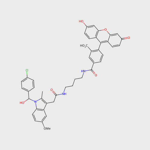 COc1ccc2c(c1)c(CC(=O)NCCCCNC(=O)c1ccc(-c3c4ccc(=O)cc-4oc4cc(O)ccc34)c(C(=O)O)c1)c(C)n2C(O)c1ccc(Cl)cc1